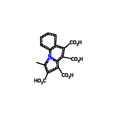 Cc1c(C(=O)O)c(C(=O)O)c2c(C(=O)O)c(C(=O)O)c3ccccc3n12